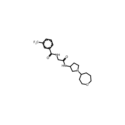 O=C(CNC(=O)c1cccc(C(F)(F)F)c1)NC1CCN(C2CCCOCC2)C1